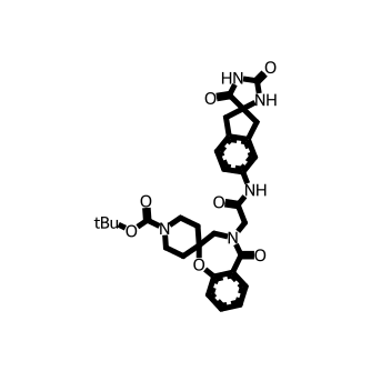 CC(C)(C)OC(=O)N1CCC2(CC1)CN(CC(=O)Nc1ccc3c(c1)CC1(C3)NC(=O)NC1=O)C(=O)c1ccccc1O2